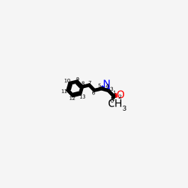 CC(=O)C1N=C1CCc1ccccc1